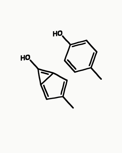 Cc1cc2c(O)c-2c1.Cc1ccc(O)cc1